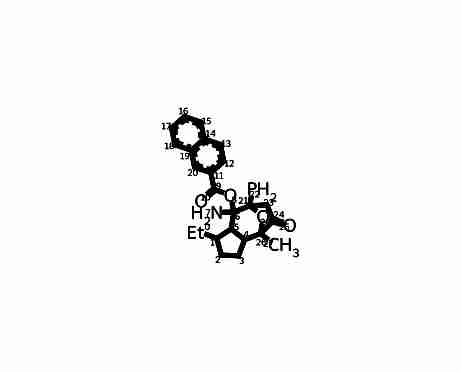 CCC1CCC2C1C(N)(OC(=O)c1ccc3ccccc3c1)C1(P)CC(=O)C2(C)O1